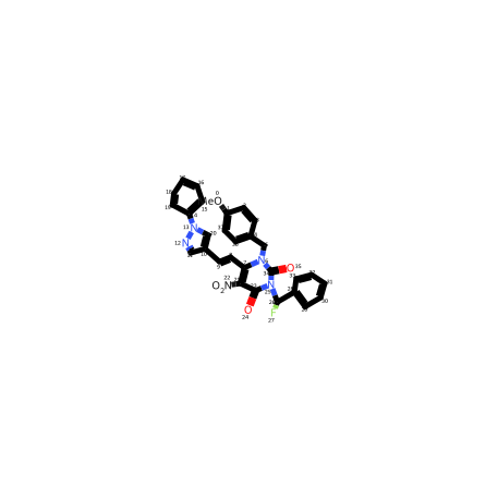 COc1ccc(Cn2c(C=Cc3cnn(-c4ccccc4)c3)c([N+](=O)[O-])c(=O)n(C(F)c3ccccc3)c2=O)cc1